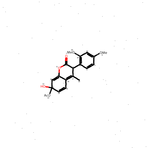 COc1ccc(C2C(=O)OC3=CC(O)(OC(C)=O)C=CC3=C2C)c(OC)c1